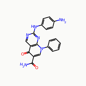 NC(=O)c1cn(-c2ccccc2)c2nc(Nc3ccc(N)cc3)ncc2c1=O